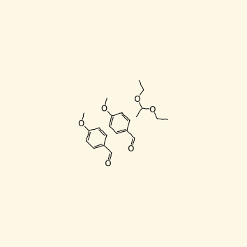 CCOC(C)OCC.COc1ccc(C=O)cc1.COc1ccc(C=O)cc1